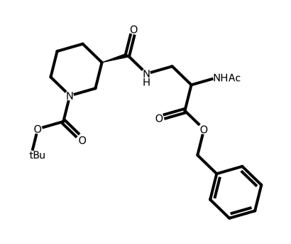 CC(=O)NC(CNC(=O)[C@@H]1CCCN(C(=O)OC(C)(C)C)C1)C(=O)OCc1ccccc1